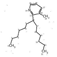 CCCCCCC(CCCCCC)c1ncccc1C